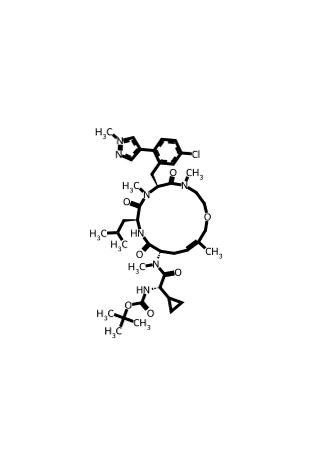 CC1=CC[C@H](N(C)C(=O)[C@@H](NC(=O)OC(C)(C)C)C2CC2)C(=O)N[C@@H](CC(C)C)C(=O)N(C)[C@@H](Cc2cc(Cl)ccc2-c2cnn(C)c2)C(=O)N(C)CCOC1